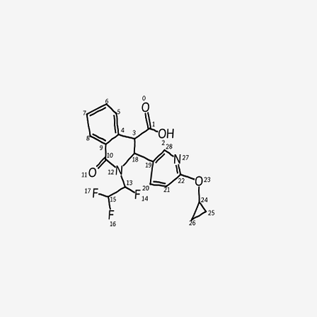 O=C(O)C1c2ccccc2C(=O)N(C(F)C(F)F)C1c1ccc(OC2CC2)nc1